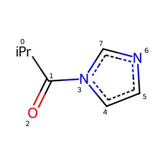 CC(C)C(=O)n1ccnc1